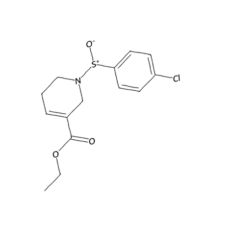 CCOC(=O)C1=CCCN([S+]([O-])c2ccc(Cl)cc2)C1